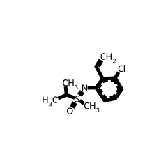 C=Cc1c(Cl)cccc1N=S(C)(=O)C(C)C